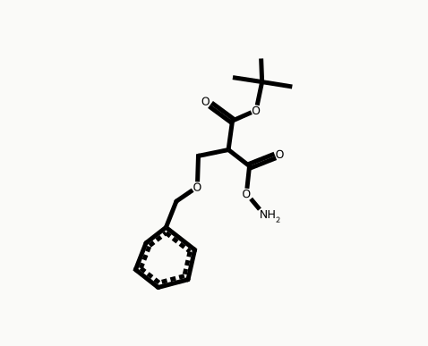 CC(C)(C)OC(=O)C(COCc1ccccc1)C(=O)ON